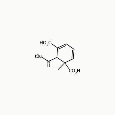 CC(C)(C)NC1C(C(=O)O)=CC=CC1(C)C(=O)O